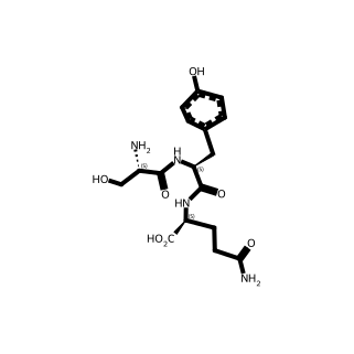 NC(=O)CC[C@H](NC(=O)[C@H](Cc1ccc(O)cc1)NC(=O)[C@@H](N)CO)C(=O)O